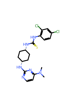 CN(C)c1ccnc(N[C@H]2CC[C@@H](NC(=S)Nc3ccc(Cl)cc3Cl)CC2)n1